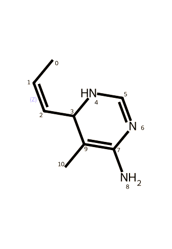 C/C=C\C1NC=NC(N)=C1C